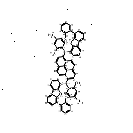 Cc1ccc(N(c2ccc3ccc4c(N(c5ccc(C)cc5C)c5cccc6c5oc5c(-c7ccccc7C)cccc56)ccc5ccc2c3c54)c2cccc3c2oc2c(-c4ccccc4C)cccc23)c(C)c1